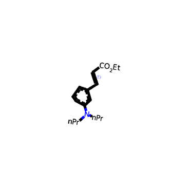 CCCN(CCC)c1cccc(/C=C/C(=O)OCC)c1